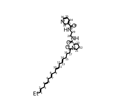 CCC=CCC=CCC=CCC=CCC=CCCCC(=O)N1CCC[C@H]1C(=O)NCCNC(=O)c1cccnc1